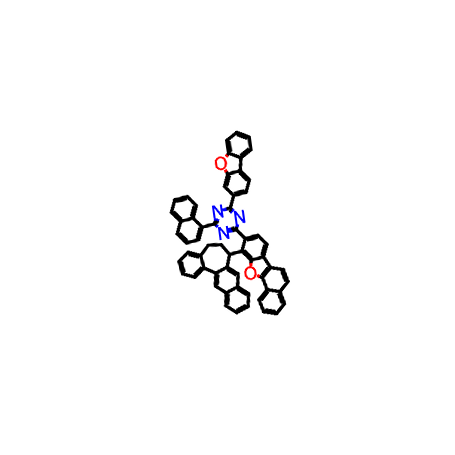 c1ccc2c(c1)CCC(c1c(-c3nc(-c4ccc5c(c4)oc4ccccc45)nc(-c4cccc5ccccc45)n3)ccc3c1oc1c4ccccc4ccc31)c1cc3ccccc3cc1-2